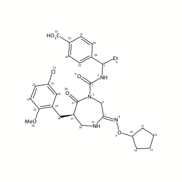 CCC(NC(=O)N1C/C(=N/OC2CCCC2)NC[C@@H](Cc2cc(Cl)ccc2OC)C1=O)c1ccc(C(=O)O)cc1